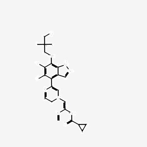 C=N/C(=C\N1C=C(c2c(Cl)c(F)c(NCC(C)(C)CCl)c3[nH]ncc23)N=CC1)NC(=O)C1CC1